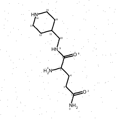 NC(=O)CCC(N)C(=O)NCC1CCNCC1